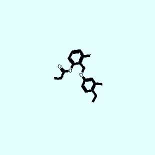 CCC(=O)Oc1cccc(C)c1COc1ccc(CC)c(C)c1